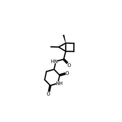 CC1C2(C(=O)NC3CCC(=O)NC3=O)CC[C@@]12C